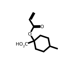 C=CC(=O)OC1(C(=O)O)CCC(C)CC1